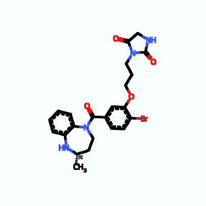 C[C@H]1CCN(C(=O)c2ccc(Br)c(OCCCN3C(=O)CNC3=O)c2)c2ccccc2N1